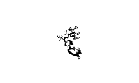 CC(O)(CN1CCCN(c2ccc(Br)cn2)CC1)Cn1cc([N+](=O)[O-])nc1Br